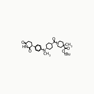 CN(c1ccc([C@@H]2CCC(=O)NC2=O)cc1)[C@H]1CC[C@H](C(=O)N2CCC(C)(C(=O)OC(C)(C)C)CC2)CC1